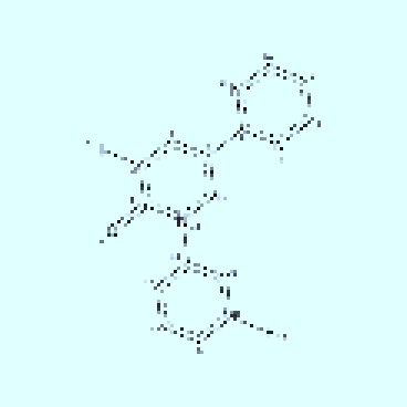 O=c1c(I)cc(-c2ncccn2)cn1-c1cccc(F)c1